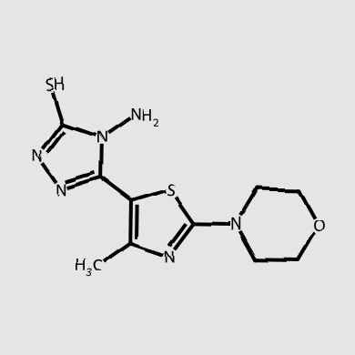 Cc1nc(N2CCOCC2)sc1-c1nnc(S)n1N